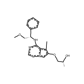 COC[C@@H](Nc1ncnn2cc(OC[C@@H](C)O)c(C)c12)c1ccccc1